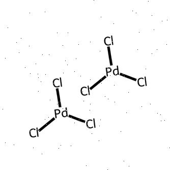 [Cl][Pd]([Cl])[Cl].[Cl][Pd]([Cl])[Cl]